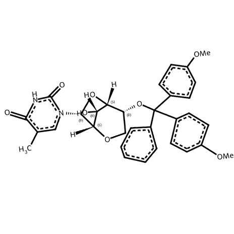 COc1ccc(C(O[C@@H]2CO[C@H]3[C@H](O)[C@@H]2O[C@H]3n2cc(C)c(=O)[nH]c2=O)(c2ccccc2)c2ccc(OC)cc2)cc1